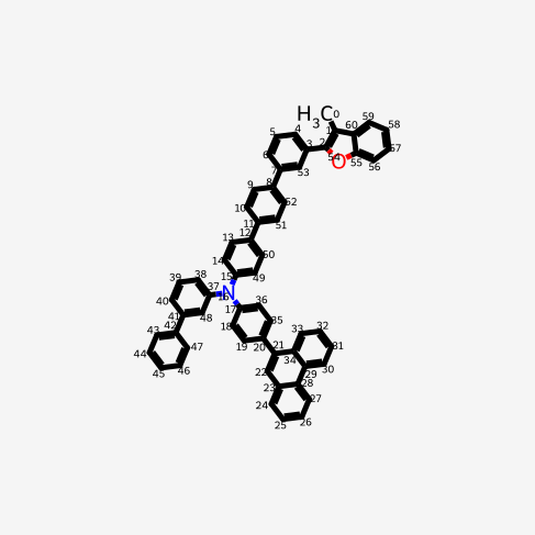 Cc1c(-c2cccc(-c3ccc(-c4ccc(N(c5ccc(-c6cc7ccccc7c7ccccc67)cc5)c5cccc(-c6ccccc6)c5)cc4)cc3)c2)oc2ccccc12